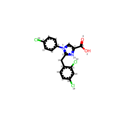 O=C(O)c1cn(-c2ccc(Cl)cc2)c(Cc2ccc(Cl)cc2Cl)n1